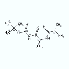 C[C@H](N)C(=O)N[C@@H](C)C(=O)NC(=O)OC(C)(C)C